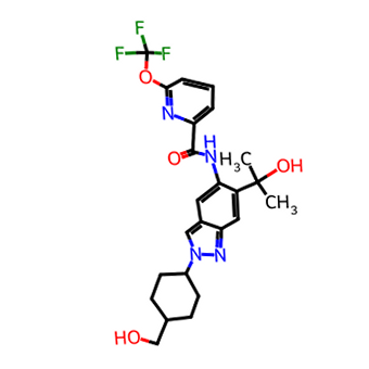 CC(C)(O)c1cc2nn(C3CCC(CO)CC3)cc2cc1NC(=O)c1cccc(OC(F)(F)F)n1